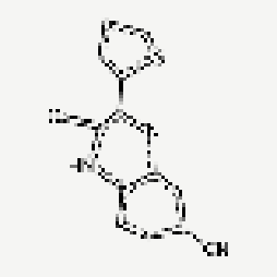 N#Cc1ccc2[nH]c(=O)c(-c3cccs3)nc2c1